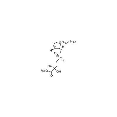 CCCCCCC=C[C@H]1CC[C@H]2O[C@@H]([C@H](I)CCC(O)(O)C(=O)OC)C[C@H]12